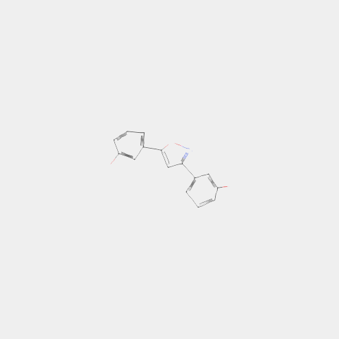 Oc1cccc(-c2cc(-c3cccc(O)c3)on2)c1